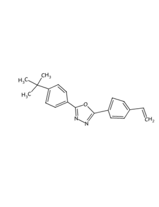 C=Cc1ccc(-c2nnc(-c3ccc(C(C)(C)C)cc3)o2)cc1